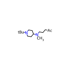 CC(=O)CCCN(C)C1CCN(C(C)(C)C)CC1